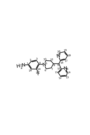 Nc1ccc(N2CCC(C(c3ccccn3)c3ccccn3)CC2)c(F)c1